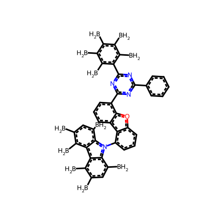 Bc1cc(B)c2c(c1B)c1c(B)c(B)cc(B)c1n2-c1cccc2oc3c(-c4nc(-c5ccccc5)nc(-c5c(B)c(B)c(B)c(B)c5B)n4)cccc3c12